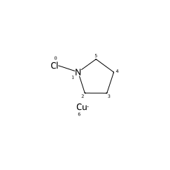 ClN1CCCC1.[Cu]